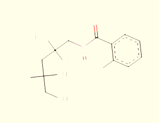 CCC(C)(C)CC(C)(C)C[PH](=O)C(=O)c1ccccc1C